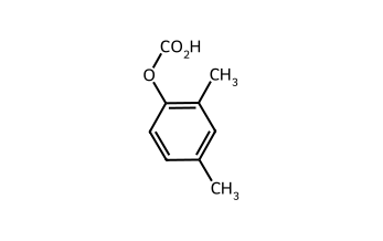 Cc1ccc(OC(=O)O)c(C)c1